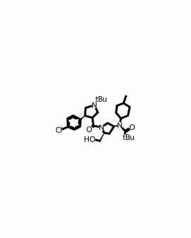 CC1CCC(N(C(=O)C(C)(C)C)[C@H]2C[C@@H](CO)N(C(=O)C3CN(C(C)(C)C)C[C@@H]3c3ccc(Cl)cc3)C2)CC1